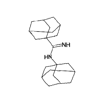 N=C(NC12CC3CC(CC(C3)C1)C2)C12CC3CC(CC(C3)C1)C2